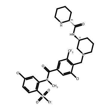 CCS(=O)(=O)c1ccc(Cl)cc1N(C)C(=O)c1cc(Cl)c(CN2CCC[C@H](NC(=O)[C@H]3CCCCN3)C2)c(C(F)(F)F)c1